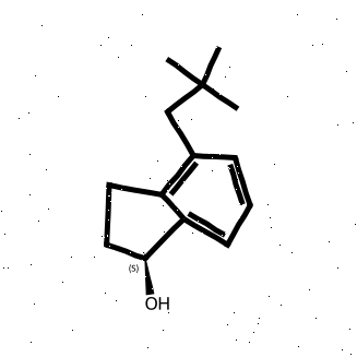 CC(C)(C)Cc1cccc2c1CC[C@@H]2O